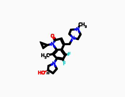 Cc1c(N2CC[C@H](O)C2)c(F)c(F)c2c(CN3CCN(C)CC3)cc(=O)n(C3CC3)c12